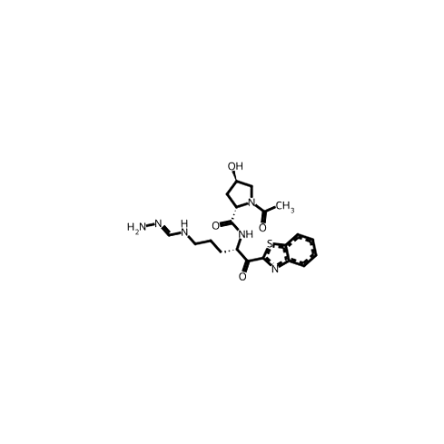 CC(=O)N1C[C@H](O)C[C@H]1C(=O)N[C@@H](CCCNC=NN)C(=O)c1nc2ccccc2s1